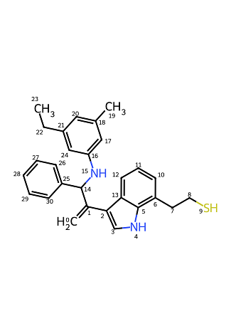 C=C(c1c[nH]c2c(CCS)cccc12)C(Nc1cc(C)cc(CC)c1)c1ccccc1